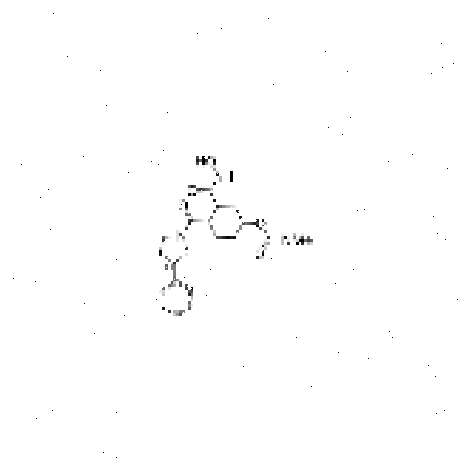 CNC(=O)OC1CCC(C(=O)N2CC[C@H](c3ccccc3)C2)C(C(=O)NO)C1